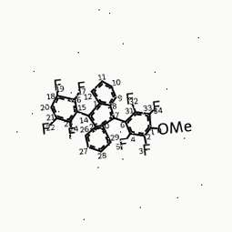 COc1c(F)c(F)c(-c2c3ccccc3c(-c3c(F)c(F)cc(F)c3F)c3ccccc23)c(F)c1F